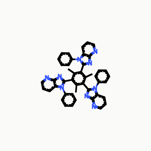 Cc1c(-c2nc3ncccc3n2-c2ccccc2)c(C)c(-c2nc3ncccc3n2-c2ccccc2)c(C)c1-c1nc2ncccc2n1-c1ccccc1